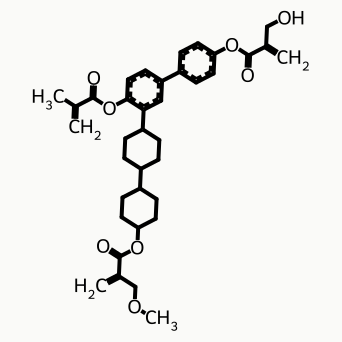 C=C(C)C(=O)Oc1ccc(-c2ccc(OC(=O)C(=C)CO)cc2)cc1C1CCC(C2CCC(OC(=O)C(=C)COC)CC2)CC1